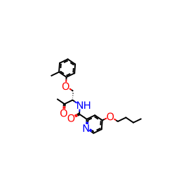 CCCCOc1ccnc(C(=O)N[C@@H](COc2ccccc2C)C(C)=O)c1